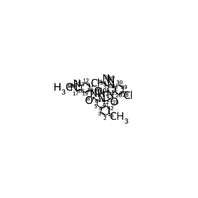 Cc1ccc(CC(C(=O)Nc2ccc3nn(C)cc3c2)N2CC(=O)N(c3cc(Cl)ccc3-n3cc(Cl)nn3)CC2=O)cc1